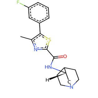 Cc1nc(C(=O)N[C@H]2CN3CCC2CC3)sc1-c1cccc(F)c1